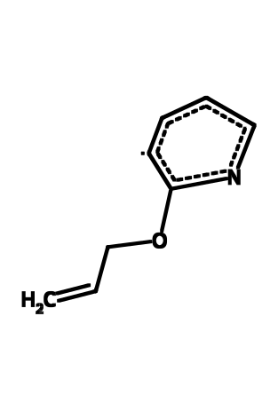 C=CCOc1[c]cccn1